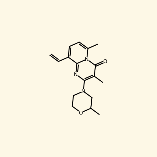 C=Cc1ccc(C)n2c(=O)c(C)c(N3CCOC(C)C3)nc12